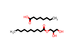 CCCCCCCC(=O)O.CCCCCCCCCC(=O)OCC(O)CO